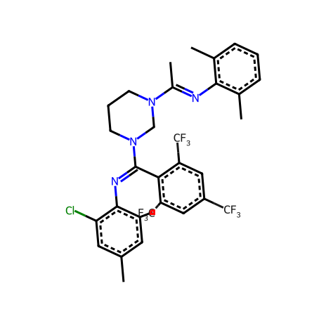 C/C(=N\c1c(C)cccc1C)N1CCCN(/C(=N/c2c(C)cc(C)cc2Cl)c2c(C(F)(F)F)cc(C(F)(F)F)cc2C(F)(F)F)C1